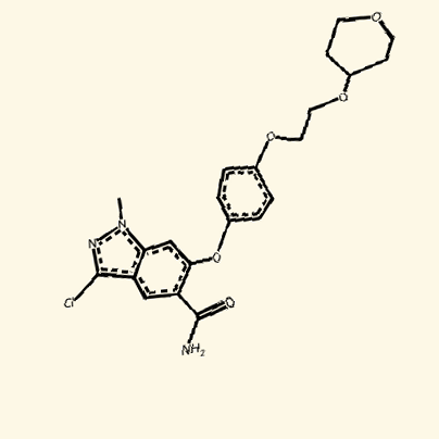 Cn1nc(Cl)c2cc(C(N)=O)c(Oc3ccc(OCCOC4CCOCC4)cc3)cc21